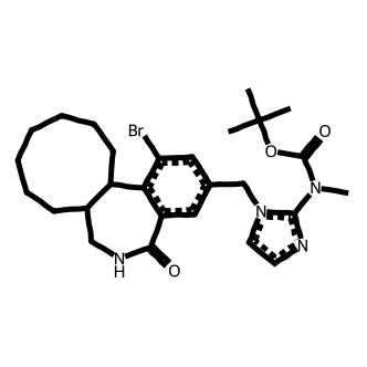 CN(C(=O)OC(C)(C)C)c1nccn1Cc1cc(Br)c2c(c1)C(=O)NCC1CCCCCCCC21